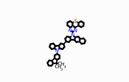 CC1(C)c2ccccc2-c2cc(-n3c4ccccc4c4cc(-c5ccc6c(c5)c5cc7ccccc7cc5n6-c5nc6c7c(cccc7n5)Sc5ccccc5-6)ccc43)ccc21